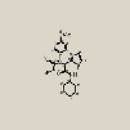 COc1ccc(N(C(=O)CF)C(C(=O)NC2CCCCC2)c2cccs2)cc1